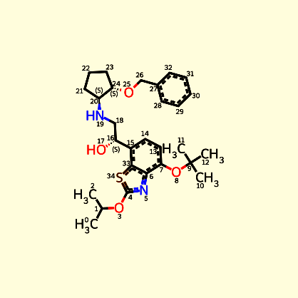 CC(C)Oc1nc2c(OC(C)(C)C)ccc([C@H](O)CN[C@H]3CCC[C@@H]3OCc3ccccc3)c2s1